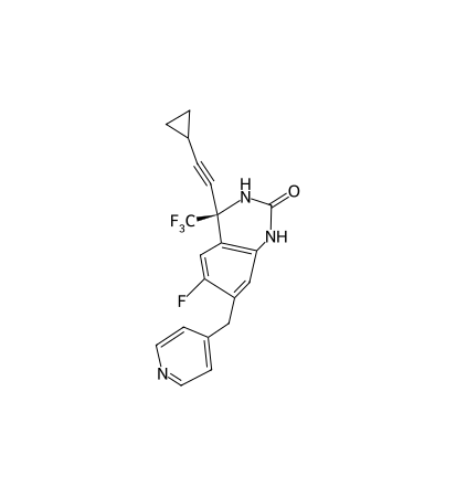 O=C1Nc2cc(Cc3ccncc3)c(F)cc2[C@@](C#CC2CC2)(C(F)(F)F)N1